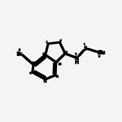 CC(C)(C)SNC1CCc2c(Br)cccc21